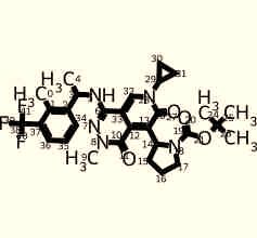 Cc1c(C(C)Nc2nn(C)c(=O)c3c(C4CCCN4C(=O)OC(C)(C)C)c(=O)n(C4CC4)cc23)cccc1C(F)(F)F